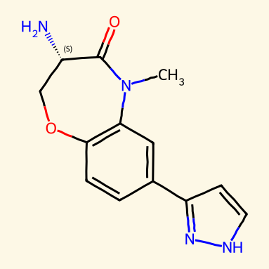 CN1C(=O)[C@@H](N)COc2ccc(-c3cc[nH]n3)cc21